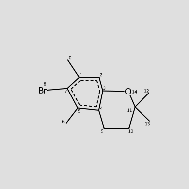 Cc1cc2c(c(C)c1Br)CCC(C)(C)O2